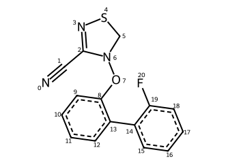 N#CC1=NSCN1Oc1ccccc1-c1ccccc1F